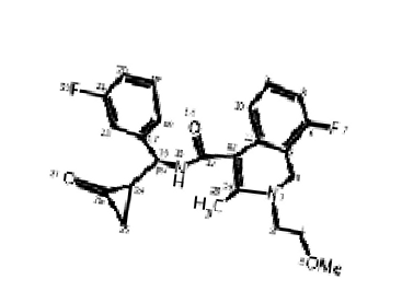 COCCN1Cc2c(F)cccc2C(C(=O)N[C@H](c2cccc(F)c2)C2CC2=O)=C1C